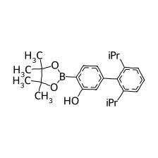 CC(C)c1cccc(C(C)C)c1-c1ccc(B2OC(C)(C)C(C)(C)O2)c(O)c1